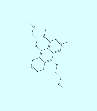 COCCOc1c2c(c(OCCOC)c3c(OC)cc(C)cc13)CC=CC2